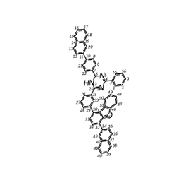 c1ccc(C2=NC(c3ccc(-c4ccc5ccccc5c4)cc3)NC(c3cccc(-c4ccc(-c5ccc6ccccc6c5)c5oc6ccccc6c45)c3)=N2)cc1